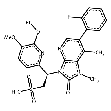 CCOc1nc([C@H](CS(C)(=O)=O)n2c(=O)n(C)c3c(C)c(-c4ccccc4F)cnc32)ccc1OC